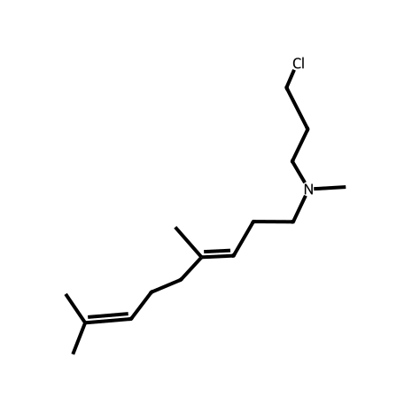 CC(C)=CCC/C(C)=C/CCN(C)CCCCl